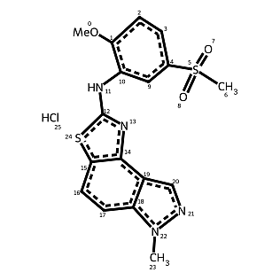 COc1ccc(S(C)(=O)=O)cc1Nc1nc2c(ccc3c2cnn3C)s1.Cl